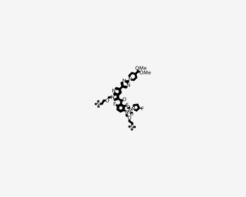 COC(OC)C1CCN(c2ncc(-c3cnc4c(c3)c(C(=O)c3c(F)ccc(N(COCC[Si](C)(C)C)S(=O)(=O)N5CC[C@@H](F)C5)c3F)cn4COCC[Si](C)(C)C)cn2)CC1